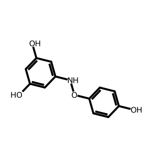 Oc1ccc(ONc2cc(O)cc(O)c2)cc1